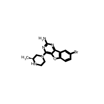 C[C@H]1CN(c2nc(N)nc3c2oc2ccc(Br)cc23)CCN1